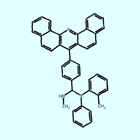 CNC(c1ccc(-c2c3ccc4ccccc4c3nc3c2ccc2ccccc23)cc1)N(c1ccccc1)c1ccccc1C